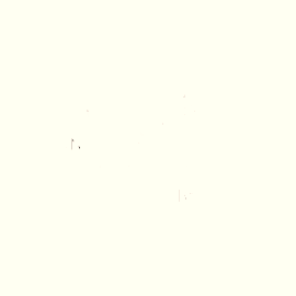 Brc1ccoc1-c1ccncc1